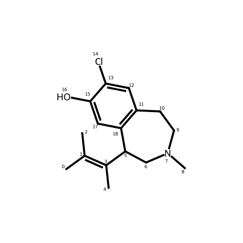 CC(C)=C(C)C1CN(C)CCc2cc(Cl)c(O)cc21